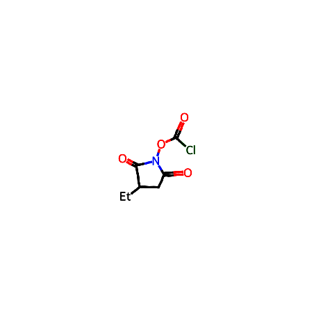 CCC1CC(=O)N(OC(=O)Cl)C1=O